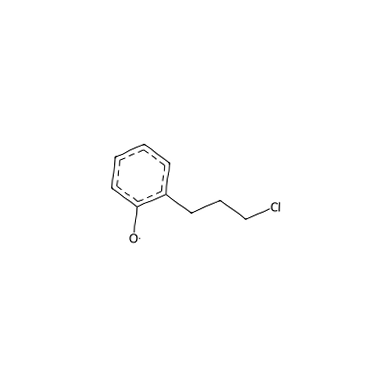 [O]c1ccccc1CCCCl